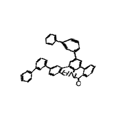 Cc1ccc(-c2cccc(-c3ccccc3)c2)cc1-c1cc(-c2cccc(-c3ccccc3)c2)cc2c1[nH]c(=O)c1ccccc12